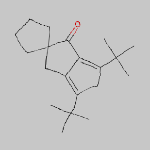 CC(C)(C)C1=C2CC3(CCCC3)C(=O)C2=C(C(C)(C)C)C1